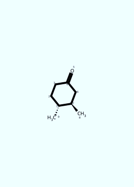 C[C@@H]1CCC(=O)C[C@H]1C